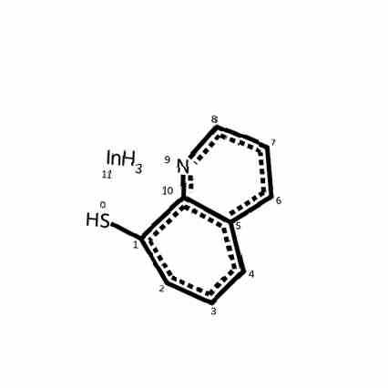 Sc1cccc2cccnc12.[InH3]